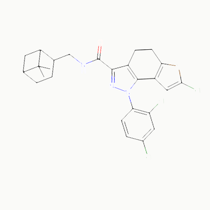 CC1(C)C2CCC(CNC(=O)c3nn(-c4ccc(Cl)cc4Cl)c4c3CCc3sc(Cl)cc3-4)C1C2